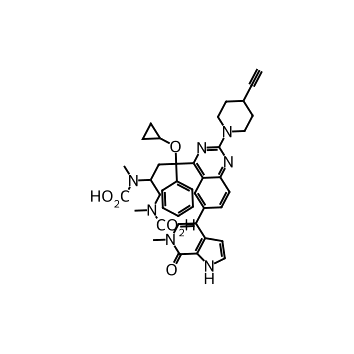 C#CC1CCN(c2nc(C(CC(CN(C)C(=O)O)N(C)C(=O)O)(OC3CC3)c3ccccc3)c3cc(-c4cn(C)c(=O)c5[nH]ccc45)ccc3n2)CC1